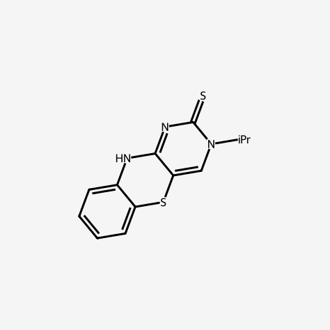 CC(C)n1cc2c(nc1=S)Nc1ccccc1S2